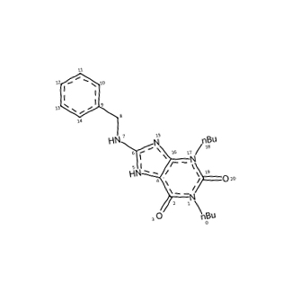 CCCCn1c(=O)c2[nH]c(NCc3ccccc3)nc2n(CCCC)c1=O